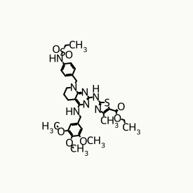 CCOC(=O)c1sc(Nc2nc(NCc3cc(OC)c(OC)c(OC)c3)c3c(n2)N(Cc2ccc(NS(=O)(=O)CC)cc2)CCC3)nc1C